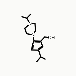 CC(C)c1ccc(N2CCN(C(C)C)CC2)c(CO)c1